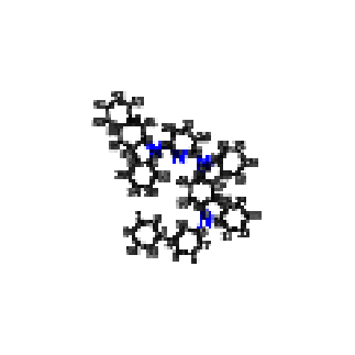 c1ccc(-c2cccc(-n3c4ccccc4c4c5c6ccccc6n(-c6cccc(-n7c8ccccc8c8cc9ccccc9cc87)n6)c5ccc43)c2)cc1